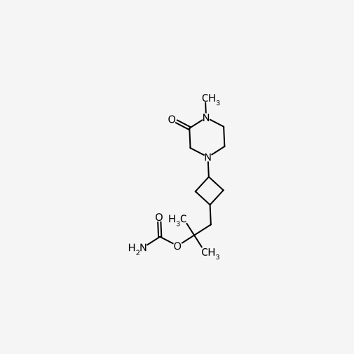 CN1CCN(C2CC(CC(C)(C)OC(N)=O)C2)CC1=O